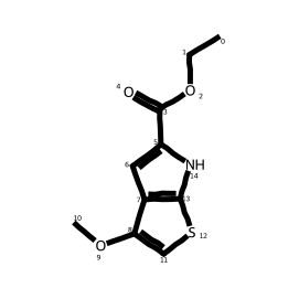 CCOC(=O)c1cc2c(OC)csc2[nH]1